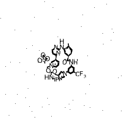 CS(=O)(=O)[O-].Cc1cn(-c2cc(NC(=O)c3ccc(C)c(Nc4nccc(-c5ccc[n+](COC(=O)NC(C)C)c5)n4)c3)cc(C(F)(F)F)c2)cn1